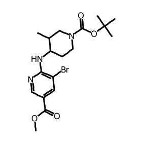 COC(=O)c1cnc(NC2CCN(C(=O)OC(C)(C)C)CC2C)c(Br)c1